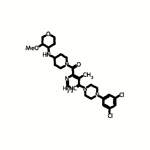 C=C(/C(C)=C(\N=C/N)C(=O)N1CCC(NC2CCOCC2OC)CC1)N1CCN(c2cc(Cl)cc(Cl)c2)CC1